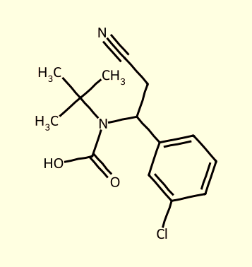 CC(C)(C)N(C(=O)O)C(CC#N)c1cccc(Cl)c1